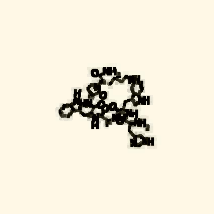 C[C@H](NC(=O)[C@@H](Cc1c[nH]c2ccccc12)NC(=O)[C@@H](N)Cc1c[nH]cn1)C(=O)N[C@@H](Cc1c[nH]c2ccccc12)C(=O)N[C@@H]1CCN([C@@H](CCCCN)C(N)=O)C1=O